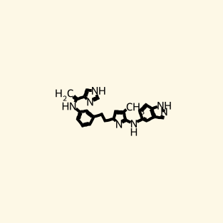 C=C(Nc1cccc(CCC2C=C(C)C(Nc3ccc4[nH]ncc4c3)=N2)c1)c1c[nH]cn1